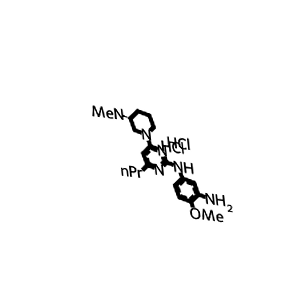 CCCc1cc(N2CCC[C@@H](NC)C2)nc(Nc2ccc(OC)c(N)c2)n1.Cl.Cl